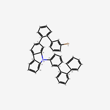 Brc1cccc(-c2ccccc2-c2ccc3c4ccccc4n(-c4cccc(-c5ccccc5-c5ccccc5)c4)c3c2)c1